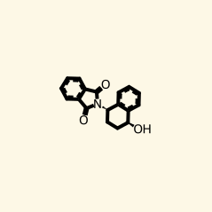 O=C1c2ccccc2C(=O)N1[C@H]1CC[C@H](O)c2ccccc21